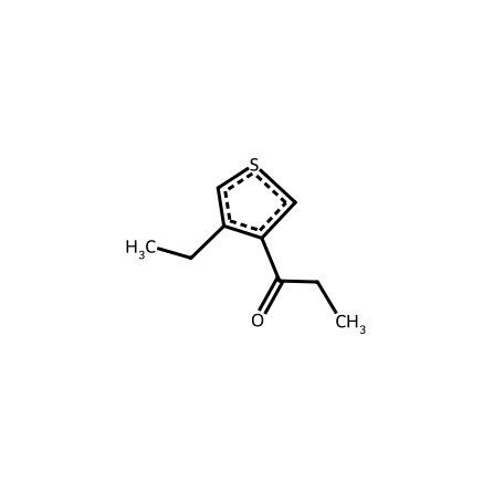 CCC(=O)c1cscc1CC